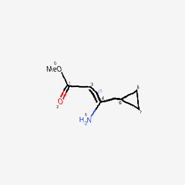 COC(=O)/C=C(\N)C1CC1